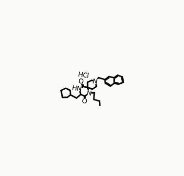 CCCCN1C(=O)C(CC2CCCCC2)NC(=O)C12CCN(Cc1ccc3ccccc3c1)CC2.Cl